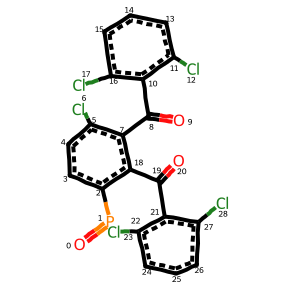 O=Pc1ccc(Cl)c(C(=O)c2c(Cl)cccc2Cl)c1C(=O)c1c(Cl)cccc1Cl